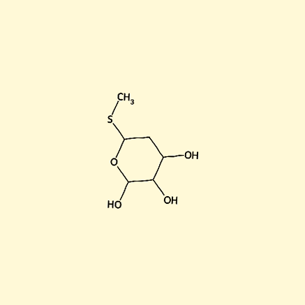 CSC1CC(O)C(O)C(O)O1